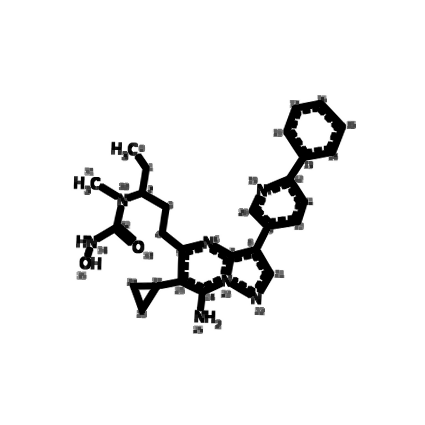 CCC(CCc1nc2c(-c3ccc(-c4ccccc4)nc3)cnn2c(N)c1C1CC1)N(C)C(=O)NO